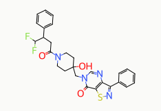 O=C(CC(c1ccccc1)C(F)F)N1CCC(O)(Cn2cnc3c(-c4ccccc4)nsc3c2=O)CC1